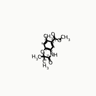 COC(=O)c1cc2c(cc1C)OC(C)(C)C(=O)N2